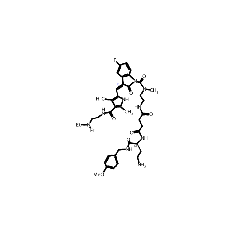 CCN(CC)CCNC(=O)c1c(C)[nH]c(/C=C2\C(=O)N(C(=O)N(C)CCNC(=O)CCC(=O)N[C@@H](CCN)C(=O)NCc3ccc(OC)cc3)c3ccc(F)cc32)c1C